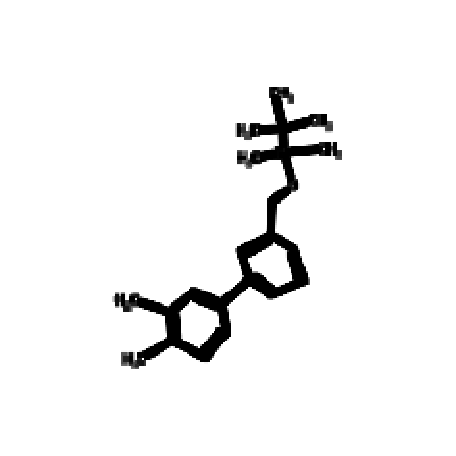 [CH2]c1cc(-c2cccc(CO[Si](C)(C)C(C)(C)C)c2)ccc1C